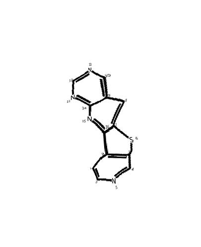 c1cc2c(cn1)sc1cc3cncnc3nc12